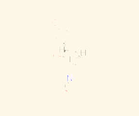 CC(N=C=O)[C@H]1CC[C@H]2[C@@H]3CCC4=CC(=O)C=C[C@]4(C)[C@H]3C(=O)C[C@]12C